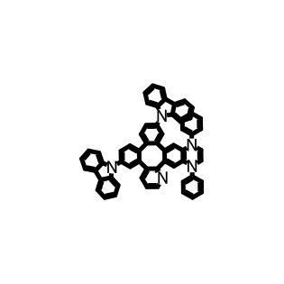 c1ccc(-n2ccn(-c3ccccc3)c3cc4c(cc32)c2cc(-n3c5ccccc5c5ccccc53)ccc2c2ccc(-n3c5ccccc5c5ccccc53)cc2c2cccnc24)cc1